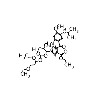 CCOCCC(OCC)OC(=O)OC(C(C)C)n1nc(C(=O)OCC)c(C(=O)c2cc(OC(C)C)c(OC)cc2N)n1